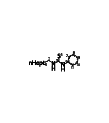 CCCCCCCCNC(=S)Nc1ccccc1